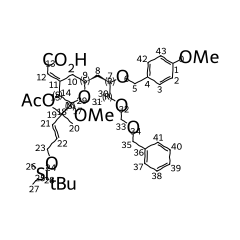 COc1ccc(CO[C@H](C[C@@H]2CC(=CC(=O)O)[C@H](OC(C)=O)[C@](OC)(C(C)(C)C=CCO[Si](C)(C)C(C)(C)C)O2)[C@@H](C)OCOCc2ccccc2)cc1